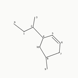 CCC(C)C1C=CCC(C)C1